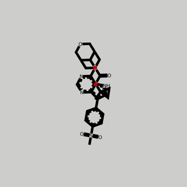 CC1(OC(=O)N2CC3COCC(C2)C3Oc2ncnc3c(-c4ccc(S(C)(=O)=O)cc4)c[nH]c23)CC1